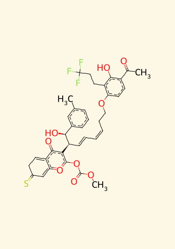 COC(=O)Oc1oc2c(c(=O)c1[C@H](/C=C/C=C\CCOc1ccc(C(C)=O)c(O)c1CCC(F)(F)F)[C@@H](O)c1cccc(C)c1)=CCC(=S)C=2